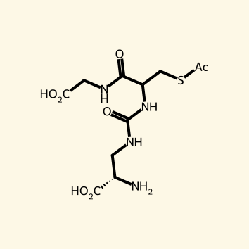 CC(=O)SCC(NC(=O)NC[C@H](N)C(=O)O)C(=O)NCC(=O)O